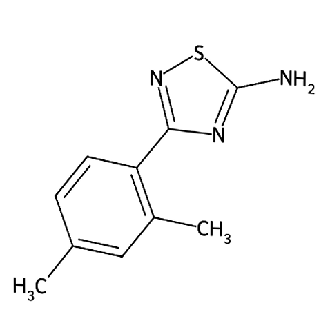 Cc1ccc(-c2nsc(N)n2)c(C)c1